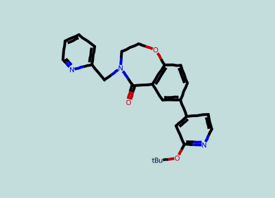 CC(C)(C)Oc1cc(-c2ccc3c(c2)C(=O)N(Cc2ccccn2)CCO3)ccn1